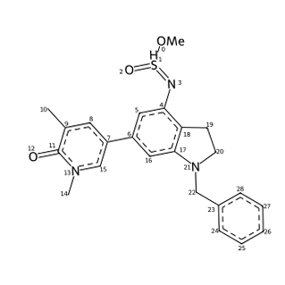 CO[SH](=O)=Nc1cc(-c2cc(C)c(=O)n(C)c2)cc2c1CCN2Cc1ccccc1